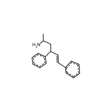 CC(N)CC(C=Cc1ccccc1)c1ccccc1